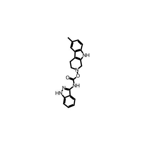 Cc1ccc2[nH]c3c(c2c1)CCN(OC(=O)Nc1n[nH]c2ccccc12)C3